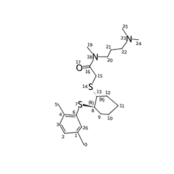 Cc1ccc(C)c(S[C@@H]2CCCC[C@H]2SCC(=O)N(C)CCCN(C)C)c1